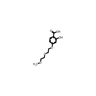 COCCOCCOc1ccc(C(=O)O)c(O)c1